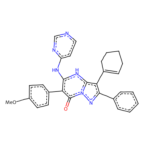 COc1ccc(-c2c(Nc3ccncn3)[nH]c3c(C4=CCCCC4)c(-c4ccccc4)nn3c2=O)cc1